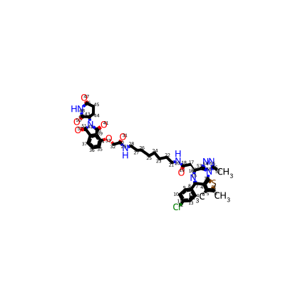 Cc1sc2c(c1C)C(c1ccc(Cl)cc1)=N[C@@H](CC(=O)NCCCCCCCCNC(=O)COc1cccc3c1C(=O)N(C1CCC(=O)NC1=O)C3=O)c1nnc(C)n1-2